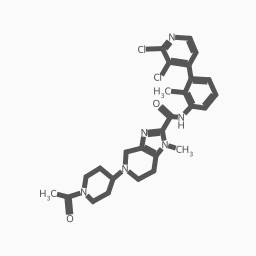 CC(=O)N1CCC(N2CCc3c(nc(C(=O)Nc4cccc(-c5ccnc(Cl)c5Cl)c4C)n3C)C2)CC1